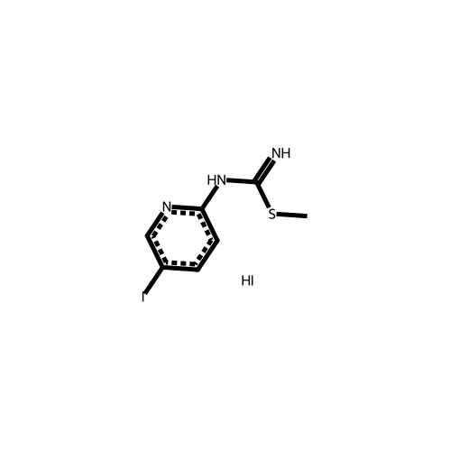 CSC(=N)Nc1ccc(I)cn1.I